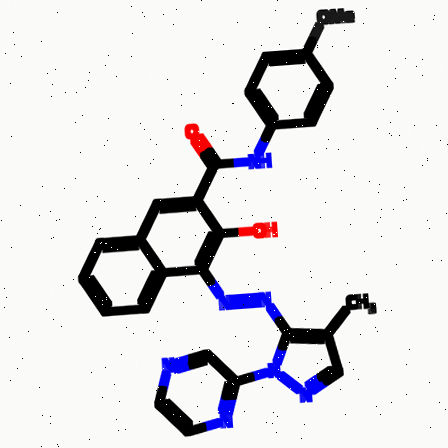 COc1ccc(NC(=O)c2cc3ccccc3c(/N=N/c3c(C)cnn3-c3cnccn3)c2O)cc1